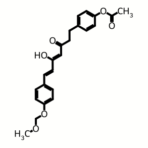 COCOc1ccc(C=CC(O)=CC(=O)CCc2ccc(OC(C)=O)cc2)cc1